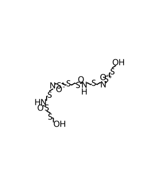 O=C(NCCSCC/N=C\[S+]([O-])CCSCCSC(=O)NCCSCC/N=C\[S+]([O-])CCSCCO)SCCSCCO